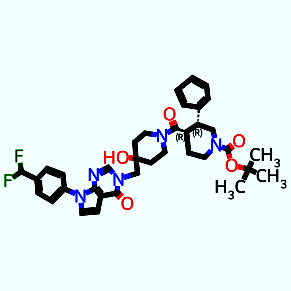 CC(C)(C)OC(=O)N1CC[C@@H](C(=O)N2CCC(O)(Cn3cnc4c(ccn4-c4ccc(C(F)F)cc4)c3=O)CC2)[C@H](c2ccccc2)C1